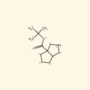 CC(C)(C)OC(=O)C12CNCC1COC2